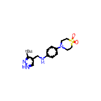 CC(C)(C)c1n[nH]cc1CNc1ccc(N2CCS(=O)(=O)CC2)cc1